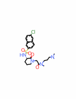 CN(C)CCCN(C)C(=O)CN1CCC[C@H](NS(=O)(=O)c2ccc3cc(Cl)ccc3c2)C1=O